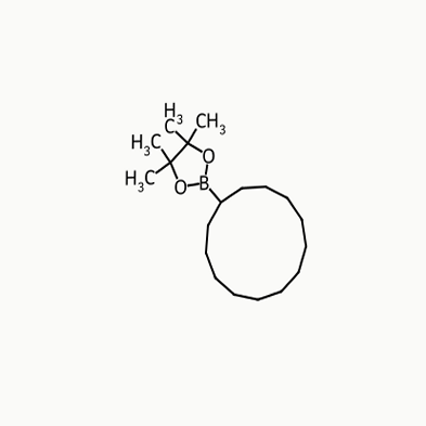 CC1(C)OB(C2CCCCCCCCCCCC2)OC1(C)C